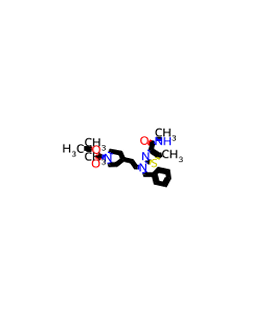 CNC(=O)c1nc(N(CCC2CCN(C(=O)OC(C)(C)C)CC2)Cc2ccccc2)sc1C